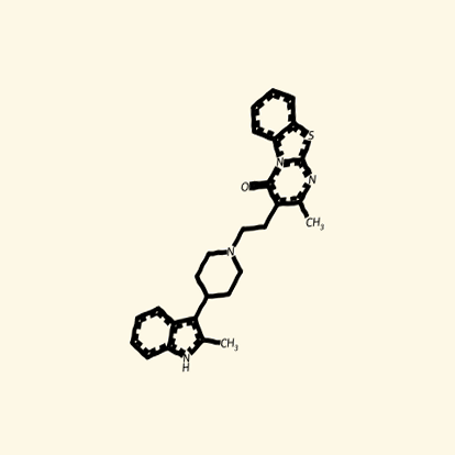 Cc1nc2sc3ccccc3n2c(=O)c1CCN1CCC(c2c(C)[nH]c3ccccc23)CC1